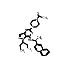 CCC(CC)n1ncc2nc(N3CCN(C(C)=O)CC3)nc(N[C@H](C)c3cnc4ccccc4c3)c21